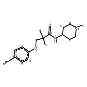 CN1CCC(NC(=O)C(C)(C)COc2ccc(F)cc2)CC1